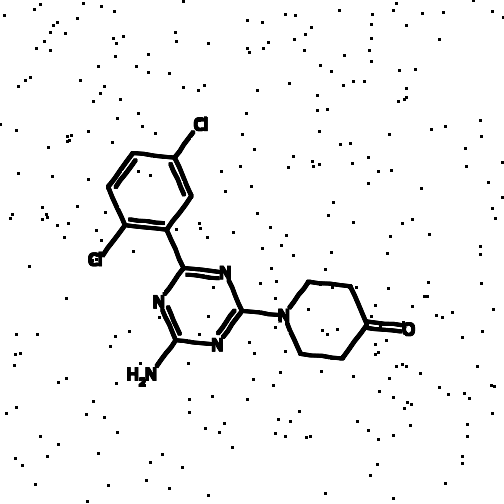 Nc1nc(-c2cc(Cl)ccc2Cl)nc(N2CCC(=O)CC2)n1